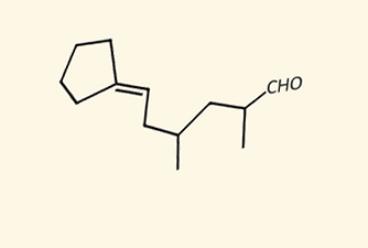 CC(C=O)CC(C)CC=C1CCCC1